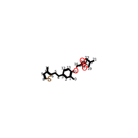 Cc1cc(CCc2sccc2C)ccc1OCC12OCC(C)(CO1)CO2